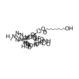 C[C@@H]1[C@@H]2OP(=O)(O)OC[C@H]3O[C@@H](n4ccc(=O)[nH]c4=O)C(F)[C@@H]3OP(=O)(SCc3ccc(OC(=O)CCCCCCCCCCO)cc3)OC[C@H]2O[C@H]1n1cnc2c(N)ncnc21